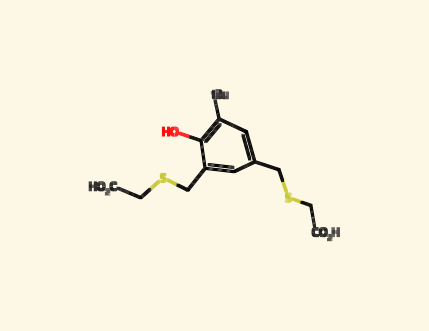 CC(C)(C)c1cc(CSCC(=O)O)cc(CSCC(=O)O)c1O